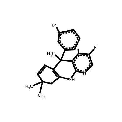 CC1(C)C=CC2=C(C1)Nc1ncc(F)c(I)c1C2(C)c1cccc(Br)c1